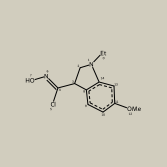 CCN1CC(/C(Cl)=N/O)c2ccc(OC)cc21